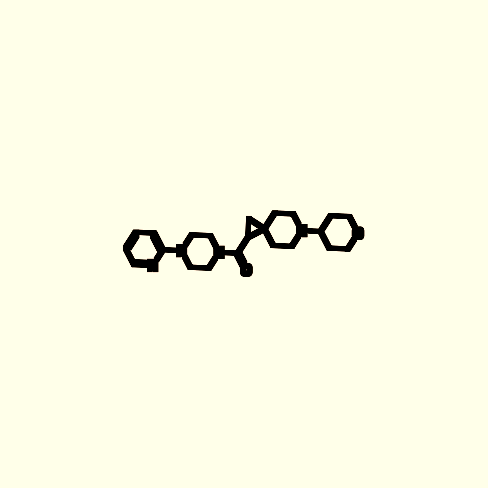 O=C(C1CC12CCN(C1CCOCC1)CC2)N1CCN(c2ccccn2)CC1